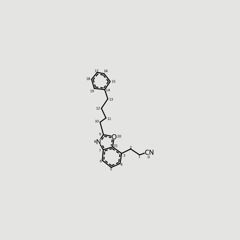 N#CCCc1cccc2nc(CCCCc3ccccc3)oc12